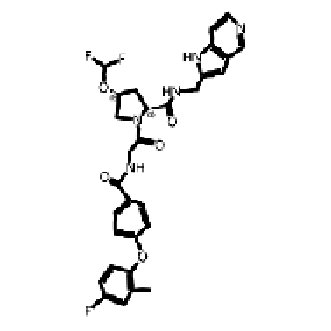 Cc1cc(F)ccc1Oc1ccc(C(=O)NCC(=O)N2C[C@H](OC(F)F)C[C@H]2C(=O)NCc2cc3cnccc3[nH]2)cc1